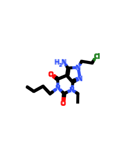 CCCCn1c(=O)c2c(N)n(CCCl)nc2n(CC)c1=O